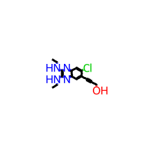 CCNc1nc2cc(Cl)c(C#CCO)cc2nc1NCC